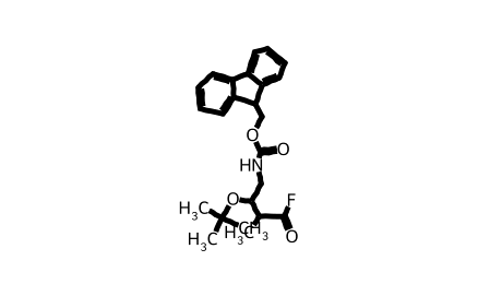 CC(C(=O)F)C(CNC(=O)OCC1c2ccccc2-c2ccccc21)OC(C)(C)C